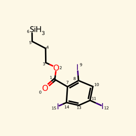 O=C(OCCC[SiH3])c1c(I)cc(I)cc1I